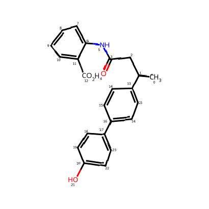 CC(CC(=O)Nc1ccccc1C(=O)O)c1ccc(-c2ccc(O)cc2)cc1